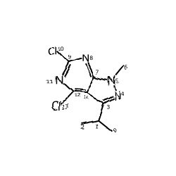 CC(C)c1nn(C)c2nc(Cl)nc(Cl)c12